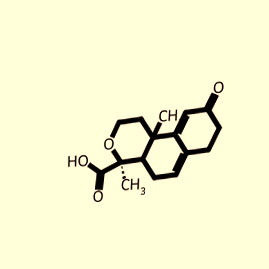 CC12CCO[C@](C)(C(=O)O)C1CC=C1CCC(=O)C=C12